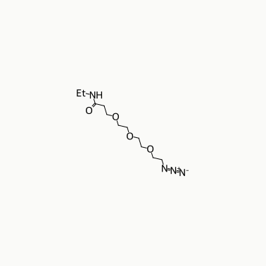 CCNC(=O)CCOCCOCCOCCN=[N+]=[N-]